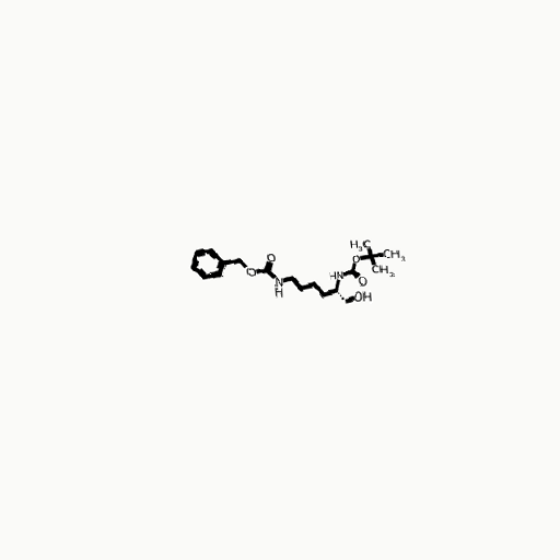 CC(C)(C)OC(=O)N[C@H](CO)CCCCNC(=O)OCc1ccccc1